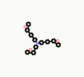 c1ccc2c(c1)oc1ccc(-c3ccc(-c4ccc(N(c5ccc(-c6ccc(-c7ccc8oc9ccccc9c8c7)cc6)cc5)c5ccc(-c6cccc7c6oc6ccccc67)cc5)cc4)cc3)cc12